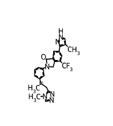 Cc1c[nH]nc1-c1cc2c(c(C(F)(F)F)c1)CN(c1cccc([C@H](C)Cc3nncn3C)c1)C2=O